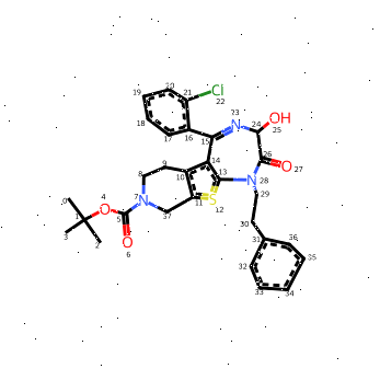 CC(C)(C)OC(=O)N1CCc2c(sc3c2C(c2ccccc2Cl)=NC(O)C(=O)N3CCc2ccccc2)C1